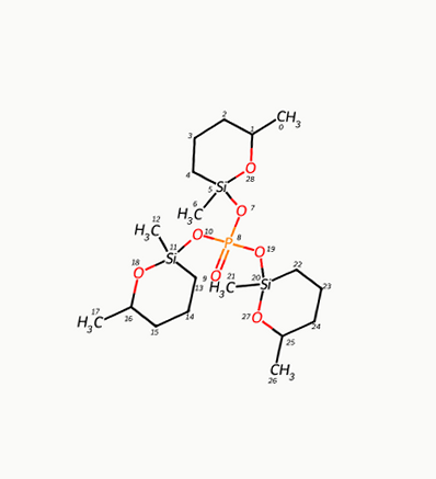 CC1CCC[Si](C)(OP(=O)(O[Si]2(C)CCCC(C)O2)O[Si]2(C)CCCC(C)O2)O1